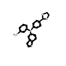 Cc1cccc(N(c2ccc(C3OCCO3)cc2)c2ccc3sccc3c2)c1